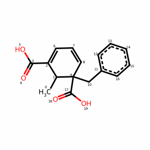 CC1C(C(=O)O)=CC=CC1(Cc1ccccc1)C(=O)O